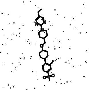 CCc1cnc(N2CCC(COC3CCC(c4ccc(S(C)(=O)=O)cc4F)CC3)CC2)nc1